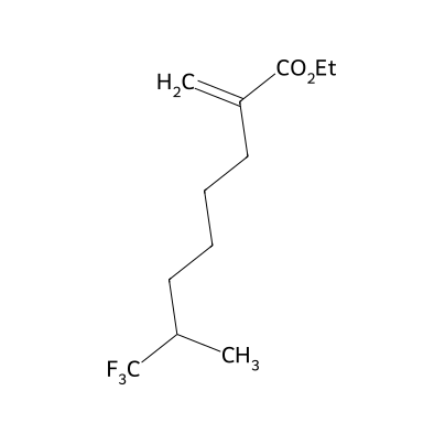 C=C(CCCCC(C)C(F)(F)F)C(=O)OCC